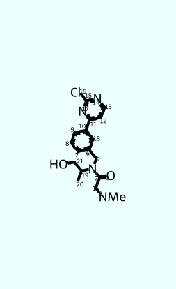 CNCC(=O)N(Cc1cccc(-c2ccnc(Cl)n2)c1)C(C)CO